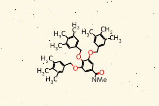 CNC(=O)c1cc(OCc2cc(C)c(C)c(C)c2)c(OCc2cc(C)c(C)c(C)c2)c(OCc2cc(C)c(C)c(C)c2)c1